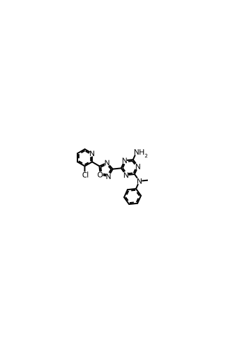 CN(c1ccccc1)c1nc(N)nc(-c2noc(-c3ncccc3Cl)n2)n1